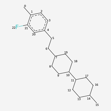 Cc1ccc(CCC2CCC(C3CCC(C)CC3)CC2)cc1F